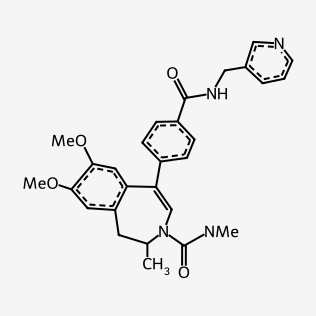 CNC(=O)N1C=C(c2ccc(C(=O)NCc3cccnc3)cc2)c2cc(OC)c(OC)cc2CC1C